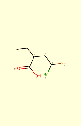 CCC(CC(S)Br)C(=O)O